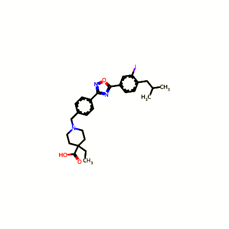 CCC1(C(=O)O)CCN(Cc2ccc(-c3noc(-c4ccc(CC(C)C)c(I)c4)n3)cc2)CC1